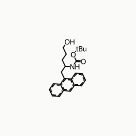 CC(C)(C)OC(=O)NC(CCCO)Cc1c2ccccc2cc2ccccc12